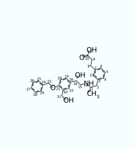 C[C@H](Cc1cccc(CCC(=O)O)c1)NC[C@@H](O)c1ccc(OCc2ccccc2)c(CO)c1